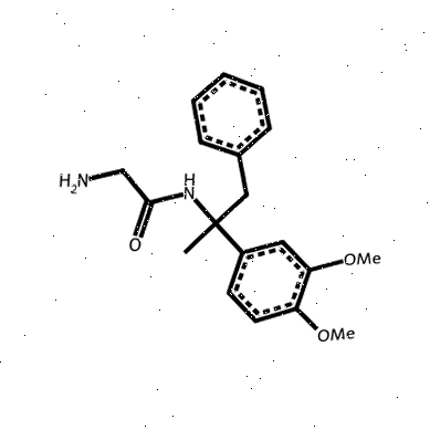 COc1ccc(C(C)(Cc2ccccc2)NC(=O)CN)cc1OC